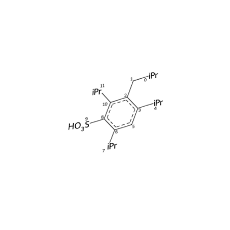 CC(C)Cc1c(C(C)C)cc(C(C)C)c(S(=O)(=O)O)c1C(C)C